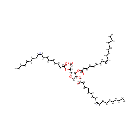 CCCCCCCC/C=C\CCCCCCCC(=O)OC(CO)C1OCC(OC(=O)CCCCCCC/C=C\CCCCCCCC)C1OC(=O)CCCCCCC/C=C\CCCCCCCC